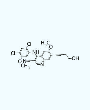 COc1cc(Nc2c(C#N)cnc3cc(C#CCCO)c(OC)cc23)c(Cl)cc1Cl